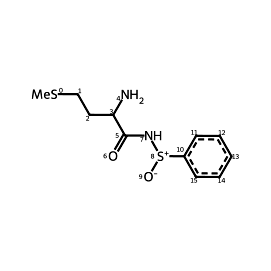 CSCCC(N)C(=O)N[S+]([O-])c1ccccc1